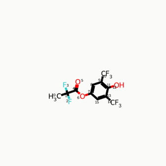 CC(F)(F)C(=O)Oc1cc(C(F)(F)F)c(O)c(C(F)(F)F)c1